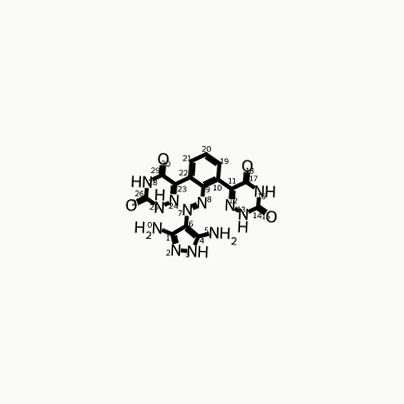 Nc1n[nH]c(N)c1N=Nc1c(-c2n[nH]c(=O)[nH]c2=O)cccc1-c1n[nH]c(=O)[nH]c1=O